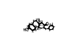 CCC12C/C(=C/c3ccccc3)C(=O)C[C@H]1CCc1cc(O)ccc12